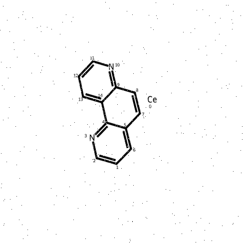 [Ce].c1cnc2c(c1)ccc1ncccc12